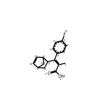 C/C(C(=O)O)=C(\c1ccc(F)cc1)C1CC2C=CC1C2